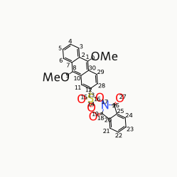 COc1c2ccccc2c(OC)c2cc(S(=O)(=O)ON3C(=O)c4ccccc4C3=O)ccc12